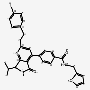 CC(C)C1NC(=O)c2c(-c3ccc(C(=O)NCc4ccco4)cc3)cc(CCc3ccc(F)cc3)nc21